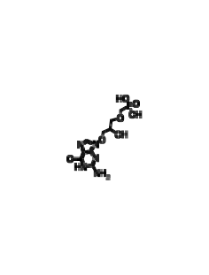 Nc1nc2c(ncn2OCC(O)COCP(=O)(O)O)c(=O)[nH]1